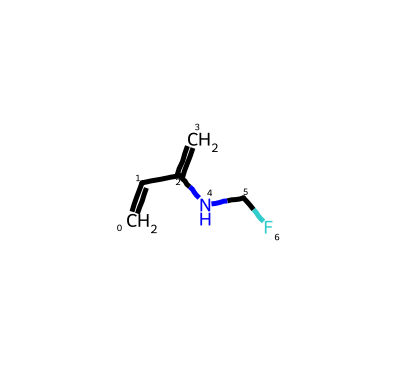 C=CC(=C)NCF